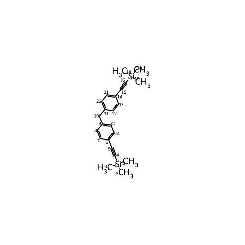 C[Si](C)(C)C#Cc1ccc(Cc2ccc(C#C[Si](C)(C)C)cc2)cc1